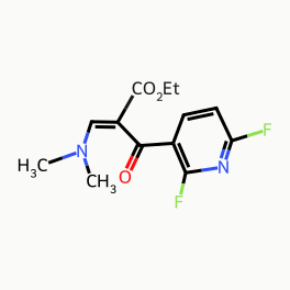 CCOC(=O)/C(=C/N(C)C)C(=O)c1ccc(F)nc1F